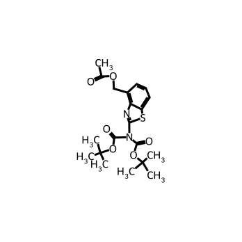 CC(=O)OCc1cccc2sc(N(C(=O)OC(C)(C)C)C(=O)OC(C)(C)C)nc12